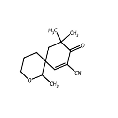 CC1OCCCC12C=C(C#N)C(=O)C(C)(C)C2